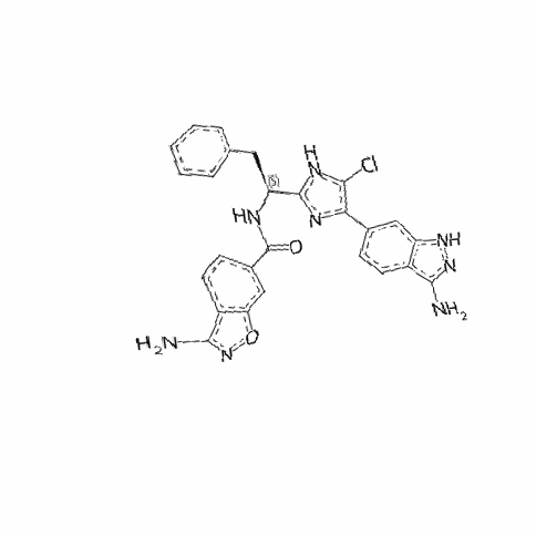 Nc1n[nH]c2cc(-c3nc([C@H](Cc4ccccc4)NC(=O)c4ccc5c(N)noc5c4)[nH]c3Cl)ccc12